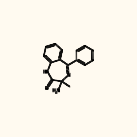 CC1(N)N=C(c2ccccc2)c2ccccc2NC1=O